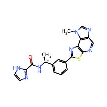 C[C@H](NC(=O)c1ncc[nH]1)c1cccc(-c2nc3c(ncc4ncn(C)c43)s2)c1